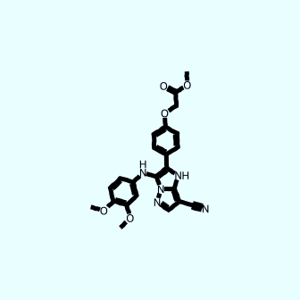 COC(=O)COc1ccc(-c2[nH]c3c(C#N)cnn3c2Nc2ccc(OC)c(OC)c2)cc1